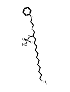 CCCCCCCCCCCCCC(COCCOc1ccccc1)OP(=O)(O)O